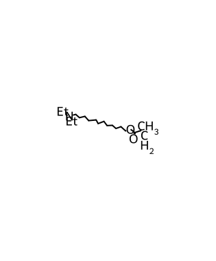 C=C(C)C(=O)OCCCCCCCCCCCCN(CC)CC